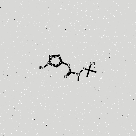 CC(C)n1cc(OC(=O)N(C)SC(C)(C)C#N)cn1